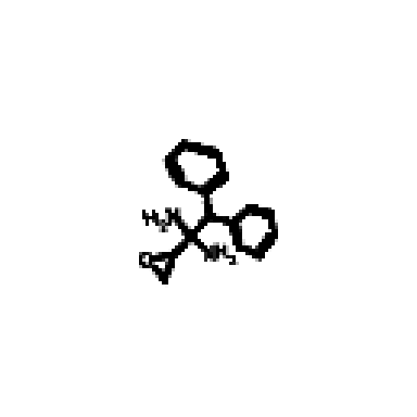 NC(N)(C1CO1)C(c1ccccc1)c1ccccc1